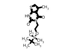 Cc1csc2[nH]c(=O)n(CCO[Si](C)(C)C(C)(C)C)c(=O)c12